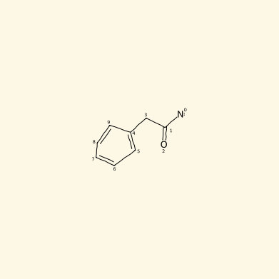 [N]C(=O)Cc1ccccc1